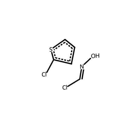 Clc1cccs1.ON=CCl